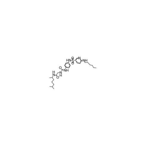 CCCCCCNc1ccc(S(=O)(=O)Nc2ccc(NC(=O)NCC(=O)NC(C)CCCC(C)C)cc2)cn1